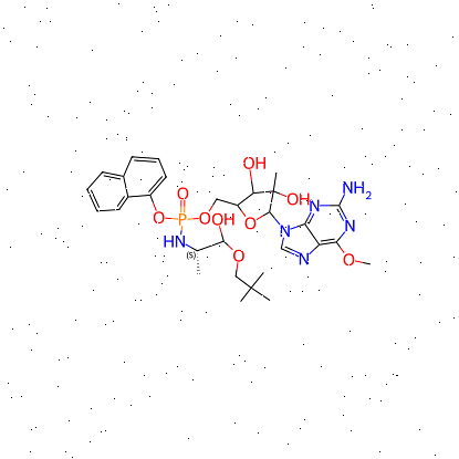 COc1nc(N)nc2c1ncn2C1OC(COP(=O)(N[C@@H](C)C(O)OCC(C)(C)C)Oc2cccc3ccccc23)C(O)C1(C)O